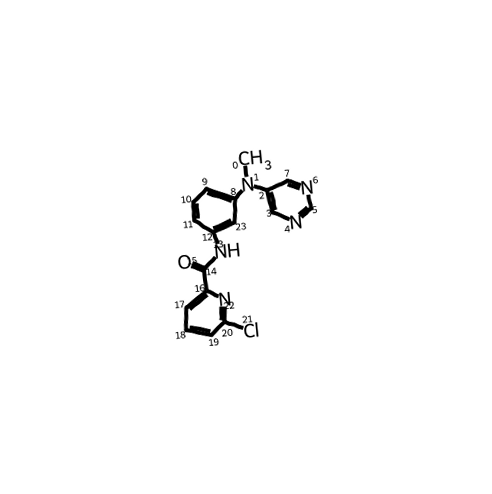 CN(c1cncnc1)c1cccc(NC(=O)c2cccc(Cl)n2)c1